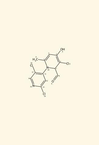 CC1=CC(O)=C(Cl)C(C=O)N1c1cc(Cl)ncc1Cl